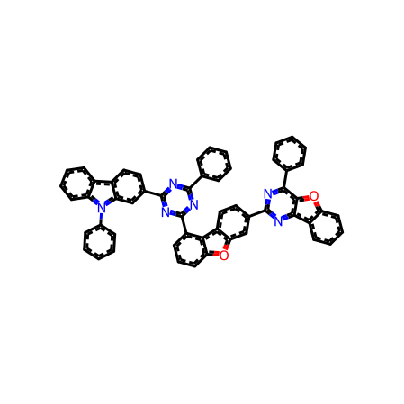 c1ccc(-c2nc(-c3ccc4c5ccccc5n(-c5ccccc5)c4c3)nc(-c3cccc4oc5cc(-c6nc(-c7ccccc7)c7oc8ccccc8c7n6)ccc5c34)n2)cc1